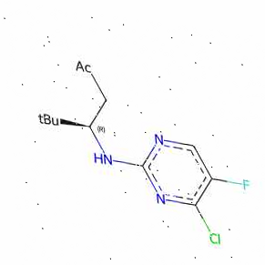 CC(=O)C[C@@H](Nc1ncc(F)c(Cl)n1)C(C)(C)C